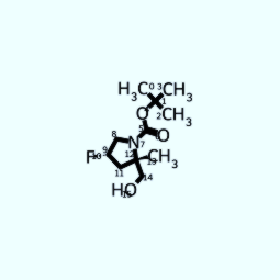 CC(C)(C)OC(=O)N1C[C@@H](F)C[C@@]1(C)CO